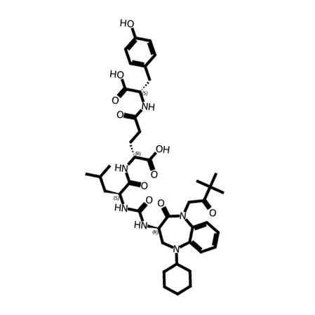 CC(C)C[C@H](NC(=O)N[C@@H]1CN(C2CCCCC2)c2ccccc2N(CC(=O)C(C)(C)C)C1=O)C(=O)N[C@H](CCC(=O)N[C@@H](Cc1ccc(O)cc1)C(=O)O)C(=O)O